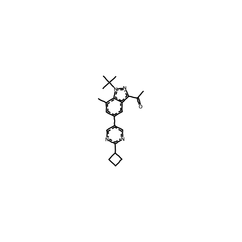 CC(=O)c1nn(C(C)(C)C)c2c(C)cc(-c3cnc(C4CCC4)nc3)cc12